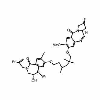 C=C(CC)CN1C[C@H](O)N(C(C)C)c2cc(OCCC(C)CC(C)(C)COc3cc4c(cc3OC)C(=O)N3CC(=C)C[C@H]3C=N4)c(C)cc2C1=O